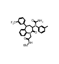 Cc1cccc(N(C(N)=O)C2CC(c3cccc(C(F)(F)F)c3)c3ccccc3N(CC(=O)NC(C)(C)C)C2=O)c1